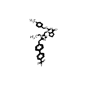 CCn1c(Cc2ccc(-c3ccc(C(F)(F)F)cc3)cc2)nnc1Cn1c(SCc2ccc(C)cc2)nc(=O)c2c1CCC2